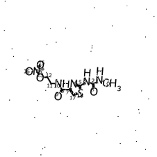 CNC(=O)Nc1nc(C(=O)NCCO[N+](=O)[O-])cs1